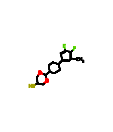 Cc1cc(C2CCC(C3OCC(S)CO3)CC2)cc(F)c1F